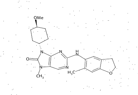 CO[C@H]1CC[C@H](n2c(=O)n(C)c3cnc(Nc4cc5c(cc4C)OCC5)nc32)CC1